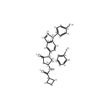 O=C(N[C@H]1CC(=O)N(c2ccc3c(cnn3-c3ccc(F)cc3)c2)[C@@H]1c1cccc(F)c1)C1CCC1